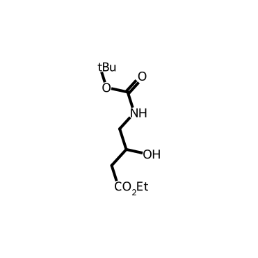 CCOC(=O)CC(O)CNC(=O)OC(C)(C)C